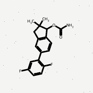 CC1(C)Cc2cc(-c3cc(F)ccc3F)ccc2C1OC(N)=O